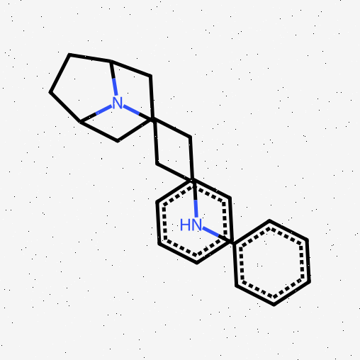 c1ccc(CC2CC3CCC(C2)N3CCCNc2ccccc2)cc1